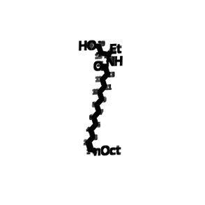 CCCCCCCC/C=C\CCCCCCCCCCCC(=O)NC([CH]CO)CC